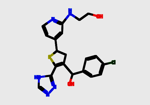 OCCNc1cc(C2CC(C(O)c3ccc(Cl)cc3)=C(c3nnc[nH]3)S2)ccn1